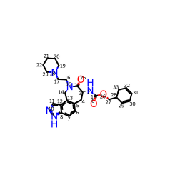 O=C(N[C@@H]1Cc2ccc3[nH]ncc3c2CN(CCN2CCCCC2)C1=O)OCC1C=CC=CC1